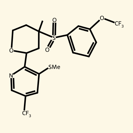 CSc1cc(C(F)(F)F)cnc1C1CC(C)(S(=O)(=O)c2cccc(OC(F)(F)F)c2)CCO1